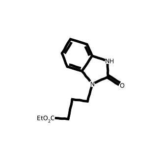 CCOC(=O)CCCn1c(=O)[nH]c2ccccc21